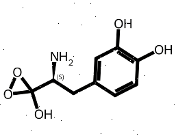 N[C@@H](Cc1ccc(O)c(O)c1)C1(O)OO1